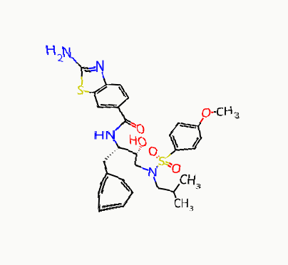 COc1ccc(S(=O)(=O)N(CC(C)C)C[C@@H](O)[C@H](Cc2ccccc2)NC(=O)c2ccc3nc(N)sc3c2)cc1